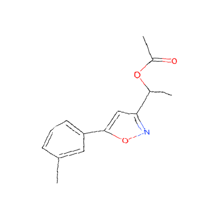 CC(=O)OC(C)c1cc(-c2cccc(C)c2)on1